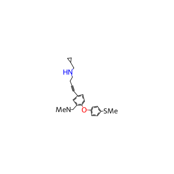 CNCc1cc(C#CCCNCC2CC2)ccc1Oc1ccc(SC)cc1